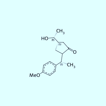 COc1ccc([C@@H](C)C2C[C@H]([C@@H](C)O)CC2=O)cc1